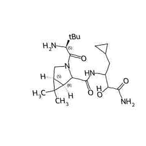 CC(C)(C)[C@H](N)C(=O)N1C[C@H]2[C@@H](C1C(=O)NC(CC1CC1)C(O)C(N)=O)C2(C)C